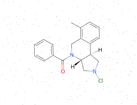 Cc1cccc2c1CN(C(=O)c1ccccc1)[C@H]1CN(Cl)C[C@H]21